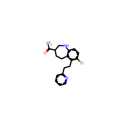 O=C(C1CCc2c(ccc(Cl)c2CCc2ccccn2)NC1)C(F)(F)F